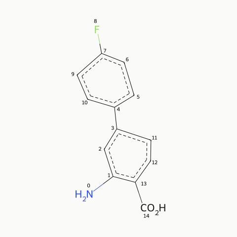 Nc1cc(-c2ccc(F)cc2)ccc1C(=O)O